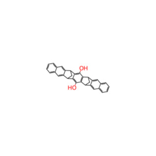 Oc1c2c(c(O)c3c1C1CC3c3cc4ccccc4cc31)C1CC2c2cc3ccccc3cc21